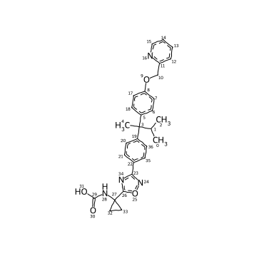 CC(C)C(C)(c1ccc(OCc2ccccn2)cc1)c1ccc(-c2noc(C3(NC(=O)O)CC3)n2)cc1